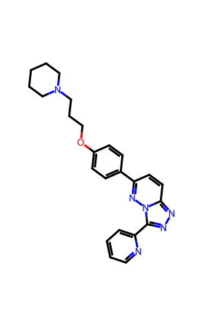 c1ccc(-c2nnc3ccc(-c4ccc(OCCCN5CCCCC5)cc4)nn23)nc1